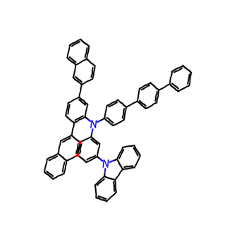 c1ccc(-c2ccc(-c3ccc(N(c4cccc(-n5c6ccccc6c6ccccc65)c4)c4cc(-c5ccc6ccccc6c5)ccc4-c4ccc5ccccc5c4)cc3)cc2)cc1